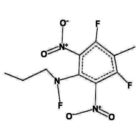 CCCN(F)c1c([N+](=O)[O-])c(F)c(C)c(F)c1[N+](=O)[O-]